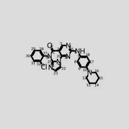 O=c1c2cnc(Nc3ccc(N4CCCCC4)cc3)nc2n2ccnc2n1-c1ccccc1Cl